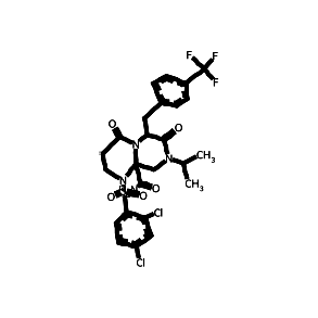 CC(C)N1CC2(C(N)=O)N(C(=O)[C]CN2S(=O)(=O)c2ccc(Cl)cc2Cl)C(Cc2ccc(C(F)(F)F)cc2)C1=O